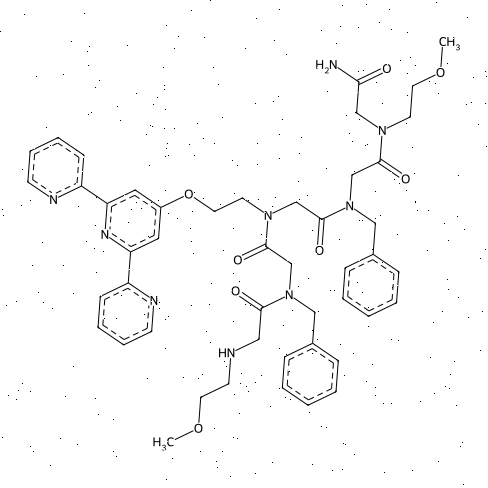 COCCNCC(=O)N(CC(=O)N(CCOc1cc(-c2ccccn2)nc(-c2ccccn2)c1)CC(=O)N(CC(=O)N(CCOC)CC(N)=O)Cc1ccccc1)Cc1ccccc1